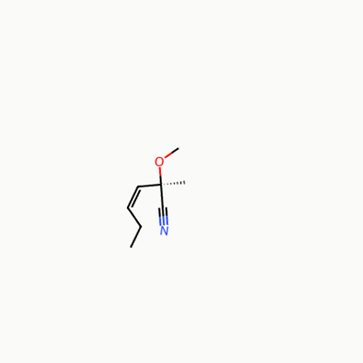 CC/C=C\[C@](C)(C#N)OC